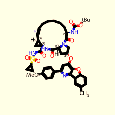 COc1ccc(-c2cc(O[C@@H]3C[C@H]4C(=O)N[C@]5(C(=O)NS(=O)(=O)C6CC6)C[C@H]5/C=C\CCCCC[C@H](NC(=O)OC(C)(C)C)C(=O)N4C3)c3c(n2)C2C=C(C)C=CC2O3)cc1